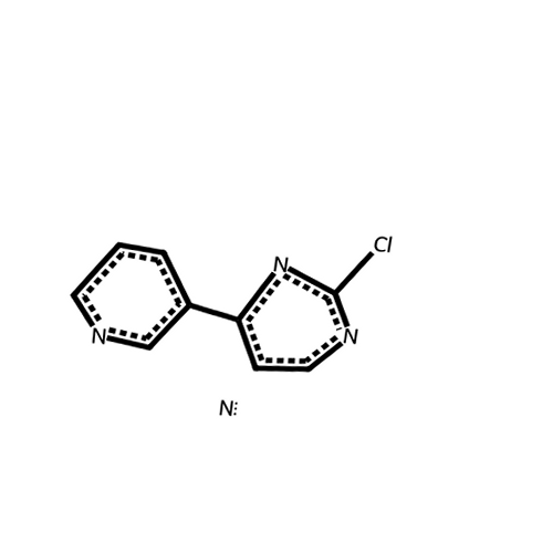 Clc1nccc(-c2cccnc2)n1.[N]